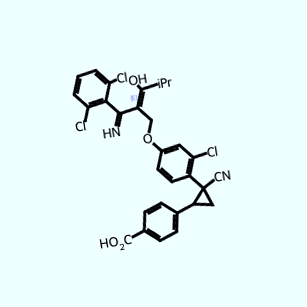 CC(C)/C(O)=C(\COc1ccc(C2(C#N)CC2c2ccc(C(=O)O)cc2)c(Cl)c1)C(=N)c1c(Cl)cccc1Cl